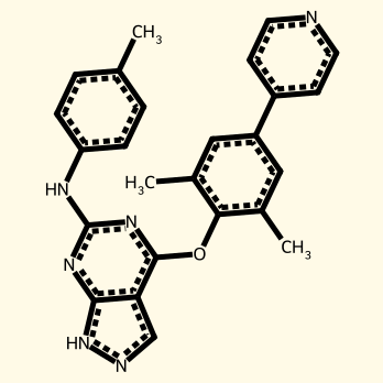 Cc1ccc(Nc2nc(Oc3c(C)cc(-c4ccncc4)cc3C)c3cn[nH]c3n2)cc1